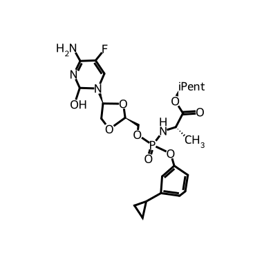 CCC[C@H](C)OC(=O)[C@H](C)NP(=O)(OC[C@H]1OC[C@@H](N2C=C(F)C(N)=NC2O)O1)Oc1cccc(C2CC2)c1